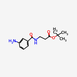 CC(C)(C)OC(=O)CCNC(=O)c1cccc(N)c1